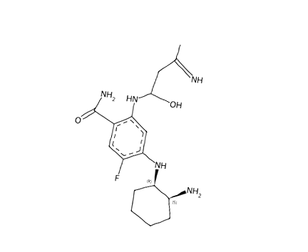 CC(=N)CC(O)Nc1cc(N[C@@H]2CCCC[C@@H]2N)c(F)cc1C(N)=O